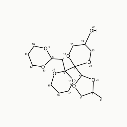 CC1COC(C2(C3(CC4OCCCO4)OCCCO3)OCC(O)CO2)O1